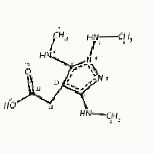 CNc1nn(NC)c(NC)c1CC(=O)O